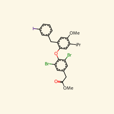 COC(=O)Cc1cc(Br)c(Oc2cc(C(C)C)c(OC)cc2Cc2cccc(I)c2)c(Br)c1